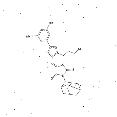 COc1cc(O)cc(-c2cc(CCCN)c(/C=C3\SC(=S)N(C4C5CC6CC(C5)CC4C6)C3=O)o2)c1